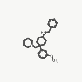 COc1cccc(C2(CN3CCCCC3)CCC(NCc3ccccc3)CC2)c1